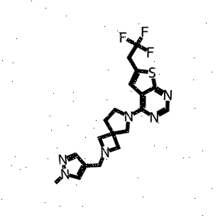 Cn1cc(CN2CC3(CCN(c4ncnc5sc(CC(F)(F)F)cc45)C3)C2)cn1